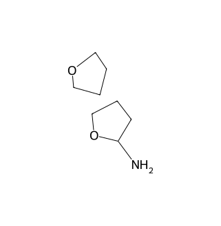 C1CCOC1.NC1CCCO1